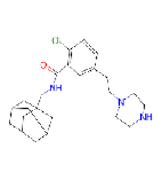 O=C(NCC12CC3CC(CC(C3)C1)C2)c1cc(CCN2CCNCC2)ccc1Cl